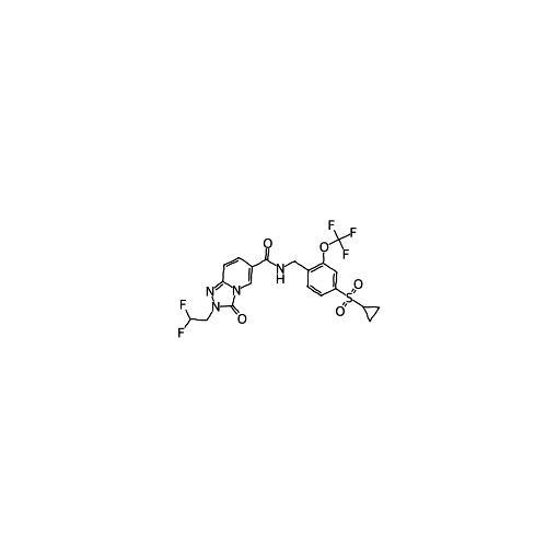 O=C(NCc1ccc(S(=O)(=O)C2CC2)cc1OC(F)(F)F)c1ccc2nn(CC(F)F)c(=O)n2c1